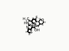 CC(Nc1nc(C(O)NCC2CCOCC2)c2sccc2n1)c1cncc(F)c1